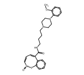 COc1ccccc1N1CCN(CCCCNC(=O)/C2=C/C=C\[N+](=O)Sc3ccccc32)CC1